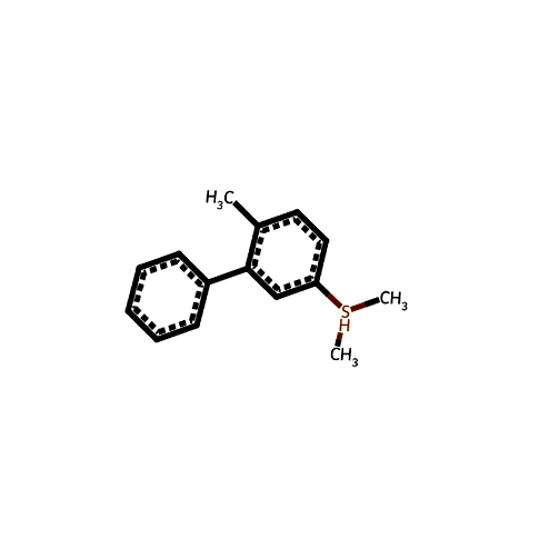 Cc1ccc([SH](C)C)cc1-c1ccccc1